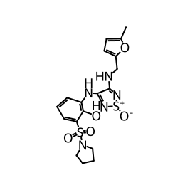 Cc1ccc(CNc2n[s+]([O-])nc2Nc2cccc(S(=O)(=O)N3CCCC3)c2O)o1